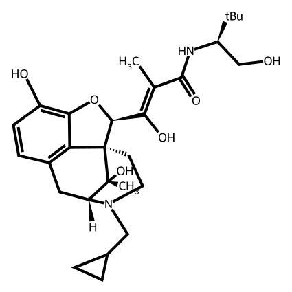 C/C(C(=O)N[C@H](CO)C(C)(C)C)=C(/O)[C@@H]1Oc2c(O)ccc3c2[C@@]12CCN(CC1CC1)[C@H](C3)[C@@]2(C)O